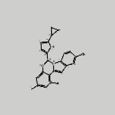 Fc1cc(Br)cc2c1-c1cc3cc(Cl)ccc3n1[C@H](c1cnc(C3CC3)[nH]1)O2